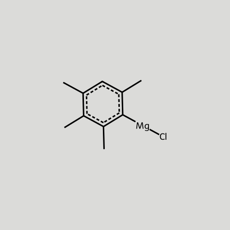 Cc1cc(C)[c]([Mg][Cl])c(C)c1C